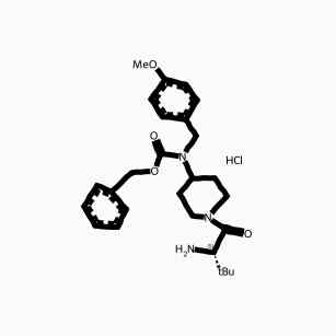 COc1ccc(CN(C(=O)OCc2ccccc2)C2CCN(C(=O)[C@@H](N)C(C)(C)C)CC2)cc1.Cl